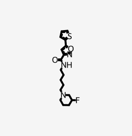 O=C(NCCCCCN1CCCC(F)C1)c1cc(-c2cccs2)on1